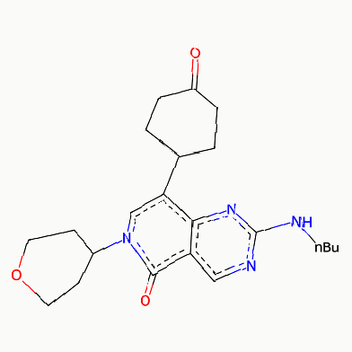 CCCCNc1ncc2c(=O)n(C3CCOCC3)cc(C3CCC(=O)CC3)c2n1